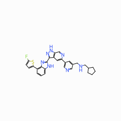 Fc1ccc(-c2cccc3[nH]c(-c4n[nH]c5cnc(-c6cncc(CNCC7CCCC7)c6)cc45)nc23)s1